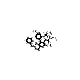 COC(=O)C(OC(C)(C)C)c1c(C)nc2c(c1-c1ccc(C)cc1)CN(Cc1ccccc1)CC2